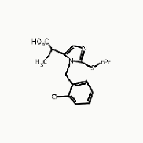 CCCSc1ncc(C(C)C(=O)O)n1Cc1ccccc1Cl